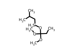 CCC(OC)(OC)O[SiH2]CC(C)C